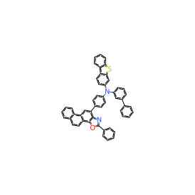 c1ccc(-c2cccc(N(c3ccc(-c4cc5c6ccccc6ccc5c5oc(-c6ccccc6)nc45)cc3)c3ccc4c(c3)sc3ccccc34)c2)cc1